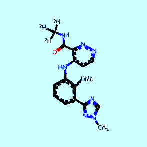 [2H]C([2H])([2H])NC(=O)c1nnccc1Nc1cccc(-c2ncn(C)n2)c1OC